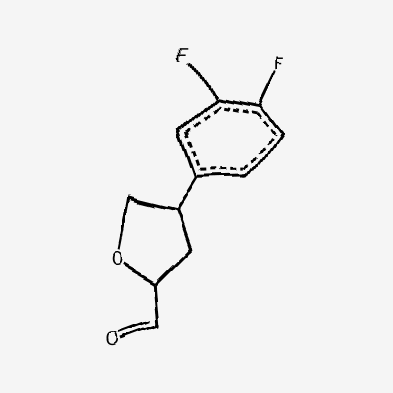 O=CC1CC(c2ccc(F)c(F)c2)CO1